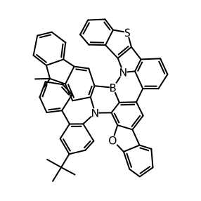 CC(C)(C)c1ccc(N2c3cc4c(cc3B3c5c(cc6c(oc7ccccc76)c52)-c2cccc5c6sc7ccccc7c6n3c25)-c2ccccc2C4(C)C)c(-c2ccccc2)c1